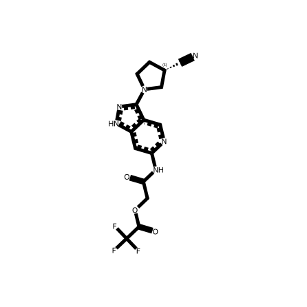 N#C[C@H]1CCN(c2n[nH]c3cc(NC(=O)COC(=O)C(F)(F)F)ncc23)C1